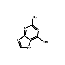 CCC(C)c1nc(C(C)(C)C)c2[nH]cnc2n1